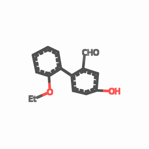 CCOc1ccccc1-c1ccc(O)cc1C=O